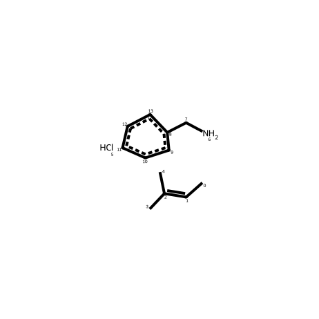 CC=C(C)C.Cl.NCc1ccccc1